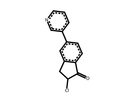 O=C1c2ccc(-c3cccnc3)cc2CC1Cl